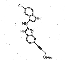 COCC#Cc1ccc2[nH]c(Nc3c[nH]c4ccc(Cl)nc34)nc2c1